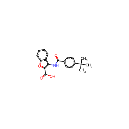 CC(C)(C)c1ccc(C(=O)Nc2c(C(=O)O)oc3ccccc23)cc1